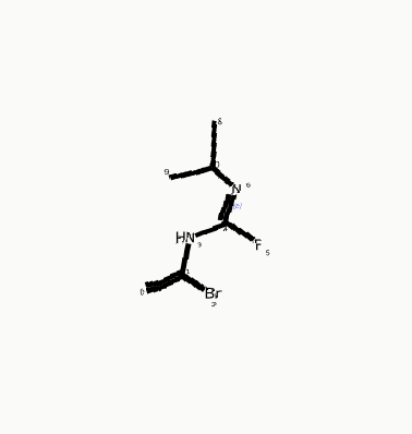 C=C(Br)N/C(F)=N\C(C)C